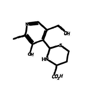 Cc1ncc(CO)c(C2NC(C(=O)O)CCS2)c1O